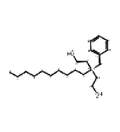 CCCCCCCCCC[N+](CCO)(CCO)Cc1ccccc1